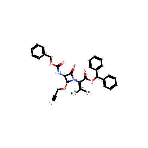 C#CCO[C@H]1[C@@H](NC(=O)OCc2ccccc2)C(=O)N1C(C(=O)OC(c1ccccc1)c1ccccc1)=C(C)C